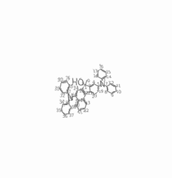 CC1(O)c2cc(N(c3ccccc3)c3ccccc3)ccc2-c2c1cc(N(c1ccccc1)c1ccccc1)c1ccccc21